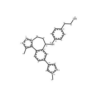 Cc1nnn2c1-c1ccc(-c3cnn(C)c3)cc1C(Nc1ccc(CCO)cc1)CC2